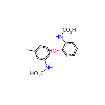 Cc1cccc(NC(=O)O)c1.O=C(O)Nc1ccccc1O